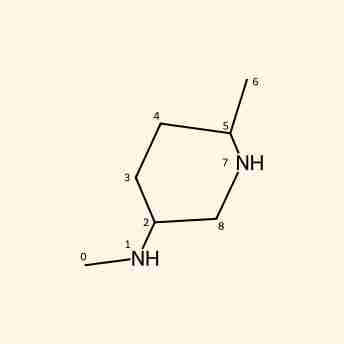 CNC1CCC(C)NC1